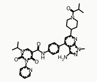 CC(C)C(=O)N1CCC(c2cc(-c3ccc(NC(=O)c4cn(C(C)C)c(=O)n(-c5ccccn5)c4=O)cc3)c3c(N)nn(C)c3n2)CC1